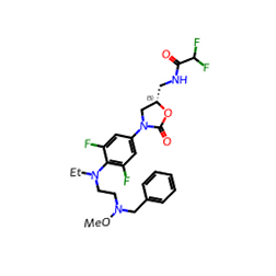 CCN(CCN(Cc1ccccc1)OC)c1c(F)cc(N2C[C@H](CNC(=O)C(F)F)OC2=O)cc1F